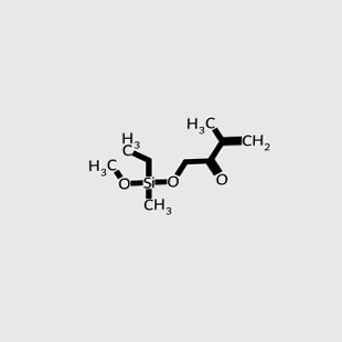 C=C(C)C(=O)CO[Si](C)(CC)OC